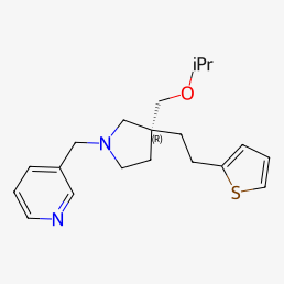 CC(C)OC[C@]1(CCc2cccs2)CCN(Cc2cccnc2)C1